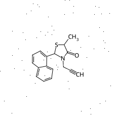 C#CCN1C(=O)C(C)SC1c1cccc2ccccc12